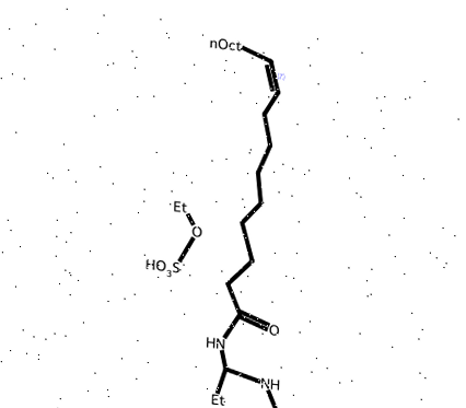 CCCCCCCC/C=C\CCCCCCCC(=O)NC(CC)NC(C)(C)C.CCOS(=O)(=O)O